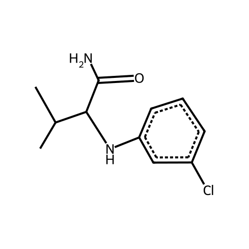 CC(C)C(Nc1cccc(Cl)c1)C(N)=O